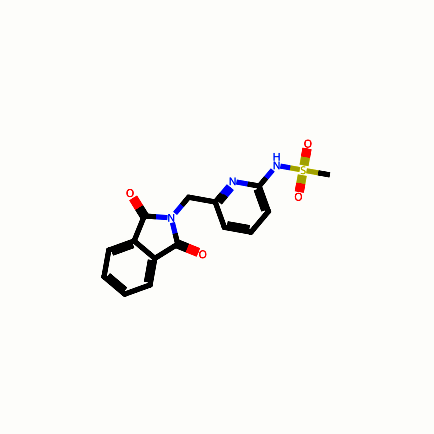 CS(=O)(=O)Nc1cccc(CN2C(=O)c3ccccc3C2=O)n1